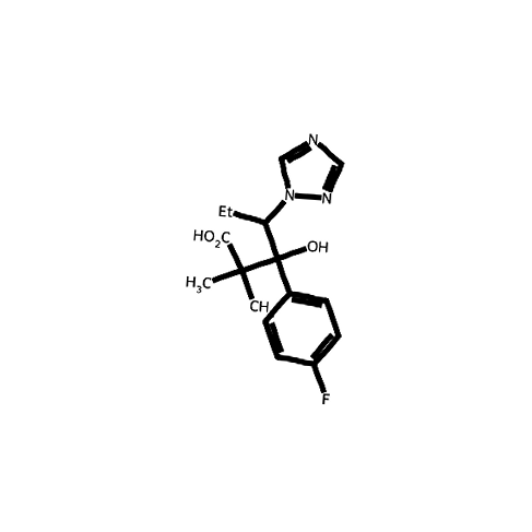 CCC(n1cncn1)C(O)(c1ccc(F)cc1)C(C)(C)C(=O)O